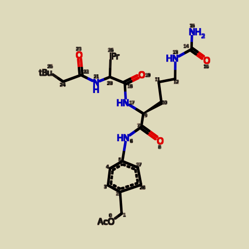 CC(=O)OCc1ccc(NC(=O)[C@H](CCCNC(N)=O)NC(=O)C(NC(=O)CC(C)(C)C)C(C)C)cc1